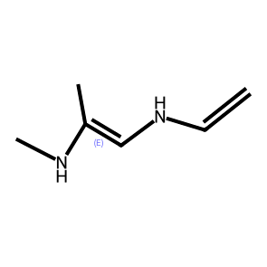 C=CN/C=C(\C)NC